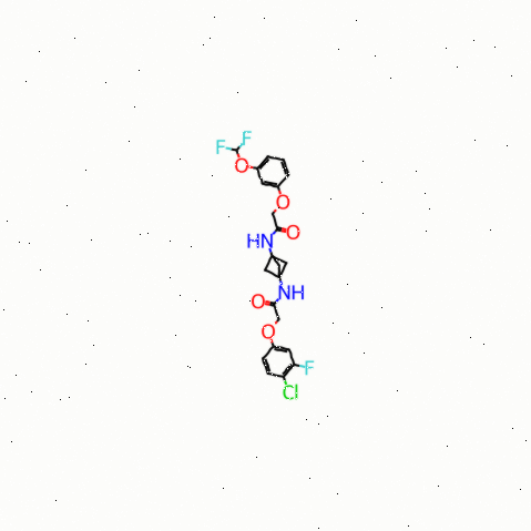 O=C(COc1cccc(OC(F)F)c1)NC12CC(NC(=O)COc3ccc(Cl)c(F)c3)(C1)C2